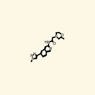 CC1CN(CC(=O)Nc2cc3cc(-c4cn(C)nn4)ccc3cn2)CCO1